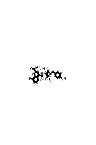 Cc1nn(Cc2ccc(C#N)cc2)c(C)c1NC(=O)c1cc(C(N)=O)nc2c(F)cccc12